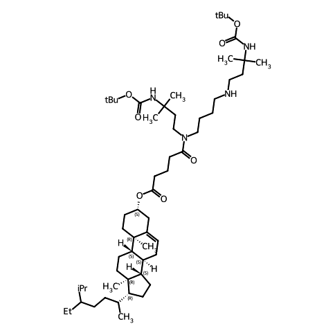 CCC(CCC(C)[C@H]1CC[C@H]2[C@@H]3CC=C4C[C@@H](OC(=O)CCCC(=O)N(CCCCNCCC(C)(C)NC(=O)OC(C)(C)C)CCC(C)(C)NC(=O)OC(C)(C)C)CC[C@]4(C)[C@H]3CC[C@]12C)C(C)C